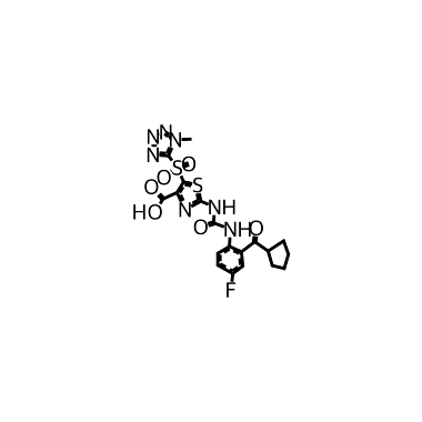 Cn1nnnc1S(=O)(=O)c1sc(NC(=O)Nc2ccc(F)cc2C(=O)C2CCCC2)nc1C(=O)O